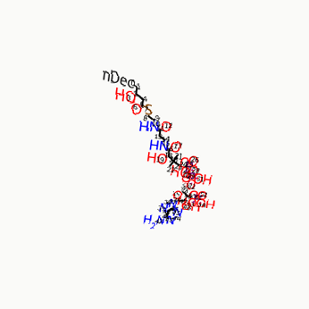 CCCCCCCCCCCC(O)CC(=O)SCCNC(=O)CCNC(=O)[C@H](O)C(C)(C)COP(=O)(O)OP(=O)(O)OC[C@H]1O[C@@H](n2cnc3c(N)ncnc32)[C@H](O)[C@@H]1OP(=O)(O)O